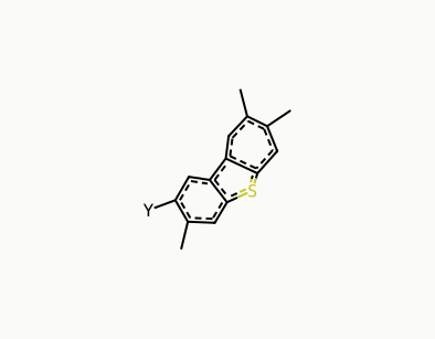 Cc1cc2sc3cc(C)[c]([Y])cc3c2cc1C